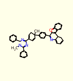 C=N/C(=N\C(=N/Cc1ccccc1)C1=CCC(C)(c2ccc(C3=NC4=CC=CCC4c4c3oc3ccccc43)cc2)C=C1)c1ccccc1